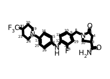 NC(=O)C1CC(=O)N(Cc2ccc(Nc3ccc(N4CCC(C(F)(F)F)CC4)cc3)c(F)c2)C1